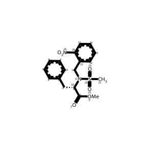 COC(=O)[C@H](Cc1ccccc1)N(Cc1ccccc1[N+](=O)[O-])S(C)(=O)=O